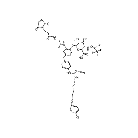 N#C/N=C(\NCCCCCCOc1ccc(Cl)cc1)Nc1cc[n+](Cc2ccc(O[C@@H]3O[C@H](C(=O)O)[C@@H](O)[C@H](O)[C@H]3O)c(NC(=O)CCNC(=O)CCN3C(=O)C=CC3=O)c2)cc1.O=C([O-])C(F)(F)F